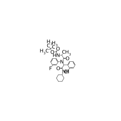 CC(NC(=O)OC(C)(C)C)C(=O)N(c1cccc(F)c1)C(C(=O)NC1CCCCC1)c1ccccc1Cl